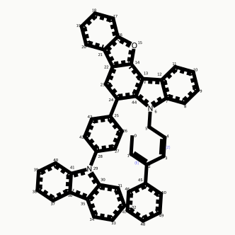 C/C=C(\C=C/Cn1c2ccccc2c2c3oc4ccccc4c3cc(-c3ccc(-n4c5ccccc5c5ccccc54)cc3)c21)c1ccccc1